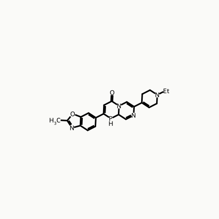 CCN1CC=C(C2=CN3C(=O)C=C(c4ccc5nc(C)oc5c4)PC3C=N2)CC1